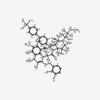 [2H]C1=C(SCc2cccc(F)c2F)N(C([2H])([2H])C(=O)N(C([2H])([2H])c2ccc(-c3ccc(C(F)(F)F)cc3)cc2)C2([2H])C([2H])([2H])C([2H])([2H])N(C([2H])([2H])C([2H])([2H])OC)C([2H])([2H])C2([2H])[2H])c2c([2H])c([2H])c(C)c([2H])c2C1O